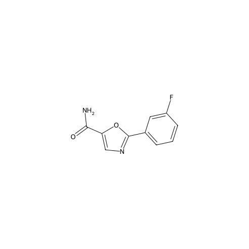 NC(=O)c1cnc(-c2cccc(F)c2)o1